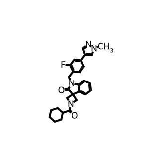 Cn1cc(-c2ccc(CN3C(=O)C4(CN(C(=O)C5CCCCC5)C4)c4ccccc43)c(F)c2)cn1